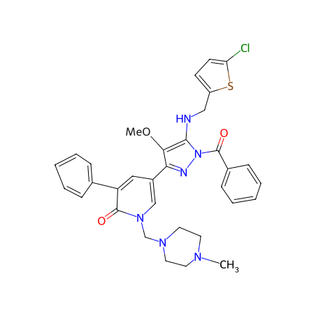 COc1c(-c2cc(-c3ccccc3)c(=O)n(CN3CCN(C)CC3)c2)nn(C(=O)c2ccccc2)c1NCc1ccc(Cl)s1